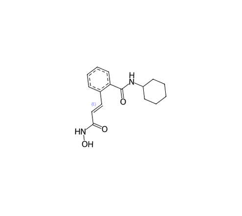 O=C(/C=C/c1ccccc1C(=O)NC1CCCCC1)NO